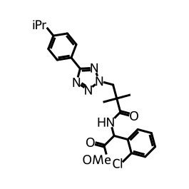 COC(=O)C(NC(=O)C(C)(C)Cn1nnc(-c2ccc(C(C)C)cc2)n1)c1ccccc1Cl